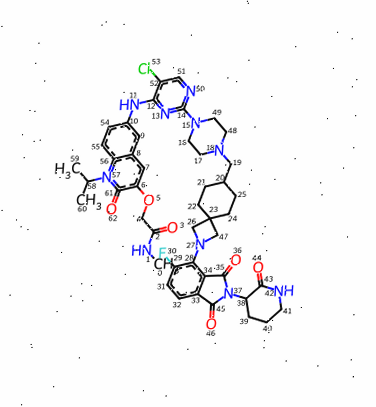 CNC(=O)COc1cc2cc(Nc3nc(N4CCN(CC5CCC6(CC5)CN(c5c(F)ccc7c5C(=O)N(C5CCCNC5=O)C7=O)C6)CC4)ncc3Cl)ccc2n(C(C)C)c1=O